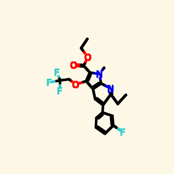 CCOC(=O)c1c(OCC(F)(F)F)c2cc(-c3cccc(F)c3)c(CC)nc2n1C